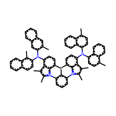 Cc1cc2ccccc2cc1N(c1ccc2ccccc2c1C)c1ccc2c3c1c(C)c(C)n3-c1cccc3c1B2c1ccc(N(c2ccc(C)c4ccccc24)c2ccc(C)c4ccccc24)c2c(C)c(C)n-3c12